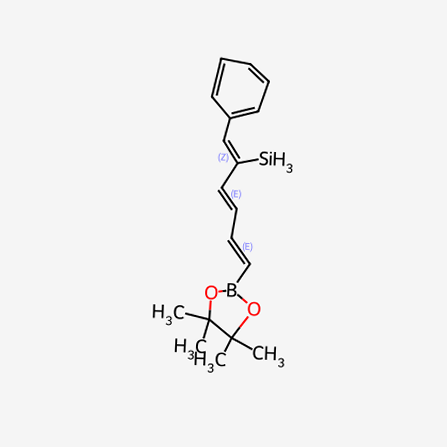 CC1(C)OB(/C=C/C=C/C([SiH3])=C/c2ccccc2)OC1(C)C